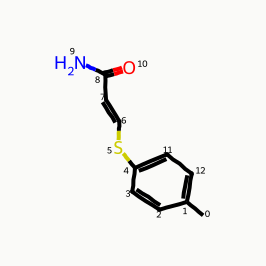 Cc1ccc(SC=CC(N)=O)cc1